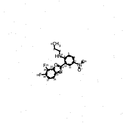 CCCNc1ccc([N+](=O)[O-])cc1-c1nc2ccc(F)c(F)c2o1